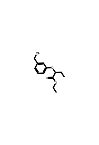 CCOC(=O)C(CC)Oc1cccc(CO)c1